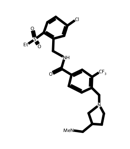 CCS(=O)(=O)c1ccc(Cl)cc1CNC(=O)c1ccc(CN2CCC(CNC)C2)c(C(F)(F)F)c1